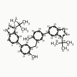 CC(C)(C)n1nnc2ccc(-c3ccc(O)c(Cc4cc(-c5ccc6nnn(C(C)(C)C)c6c5)ccc4O)c3)cc21